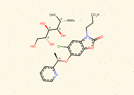 CN[C@@H](C=O)[C@@H](O)[C@H](O)[C@H](O)CO.C[C@@H](Oc1cc2oc(=O)n(CCC(=O)O)c2cc1Cl)c1ccccn1